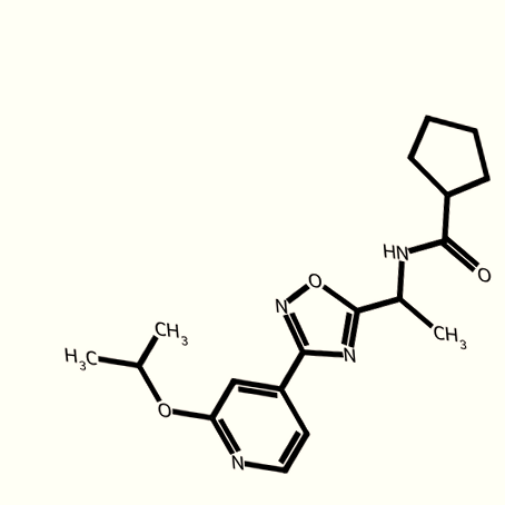 CC(C)Oc1cc(-c2noc(C(C)NC(=O)C3CCCC3)n2)ccn1